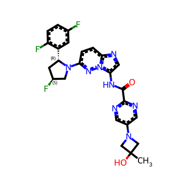 CC1(O)CN(c2cnc(C(=O)Nc3cnc4ccc(N5C[C@@H](F)C[C@@H]5c5cc(F)ccc5F)nn34)nc2)C1